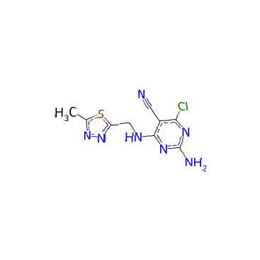 Cc1nnc(CNc2nc(N)nc(Cl)c2C#N)s1